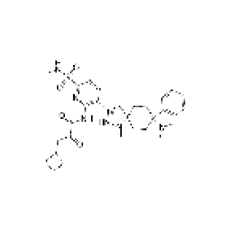 CNS(=O)(=O)c1ccc([C@@H]2CC3(CCC(c4ccccc4)(N(C)C)CC3)NN2)c(NC(=O)C(=O)CC2CCC2)n1